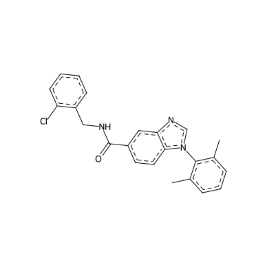 Cc1cccc(C)c1-n1cnc2cc(C(=O)NCc3ccccc3Cl)ccc21